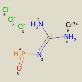 NC(N)=N[PH2]=O.[Cl-].[Cl-].[Cl-].[Cr+3]